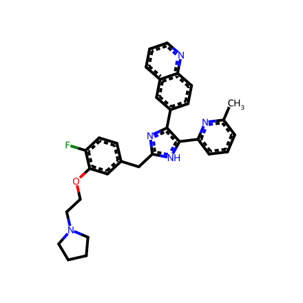 Cc1cccc(-c2[nH]c(Cc3ccc(F)c(OCCN4CCCC4)c3)nc2-c2ccc3ncccc3c2)n1